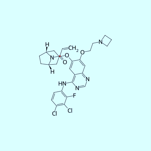 C=CC(=O)N1[C@@H]2CC[C@H]1CC(Oc1cc3c(Nc4ccc(Cl)c(Cl)c4F)ncnc3cc1OCCN1CCC1)C2